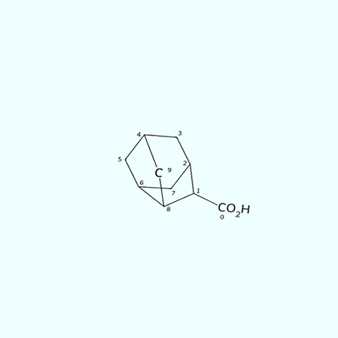 O=C(O)C1C2CC3CC(C2)C1C3